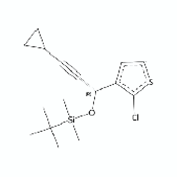 CC(C)(C)[Si](C)(C)O[C@H](C#CC1CC1)c1c[c]sc1Cl